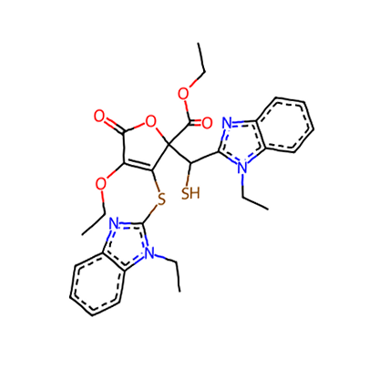 CCOC(=O)C1(C(S)c2nc3ccccc3n2CC)OC(=O)C(OCC)=C1Sc1nc2ccccc2n1CC